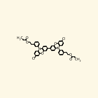 C=CC(=O)OCCc1cccc(N2c3ccc(Cl)cc3Oc3cc(-c4ccc5c(c4)Oc4cc(Cl)ccc4N5c4cccc(CCOC(=O)C=C)c4)ccc32)c1